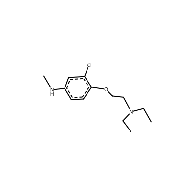 CCN(CC)CCOc1ccc(NC)cc1Cl